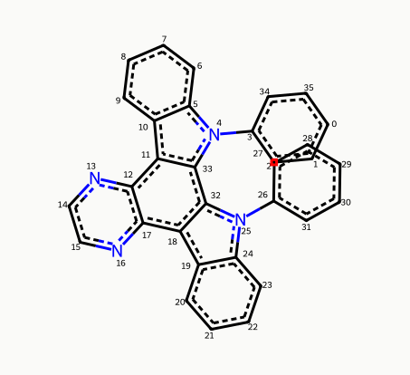 c1ccc(-n2c3ccccc3c3c4nccnc4c4c5ccccc5n(-c5ccccc5)c4c32)cc1